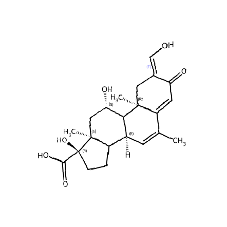 CC1=C[C@@H]2C([C@@H](O)C[C@@]3(C)C2CC[C@]3(O)C(=O)O)[C@@]2(C)C/C(=C/O)C(=O)C=C12